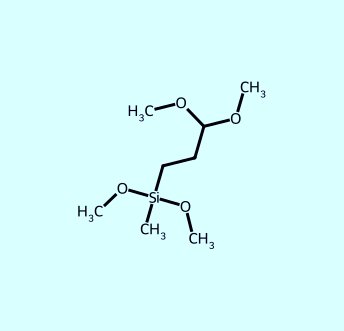 COC(CC[Si](C)(OC)OC)OC